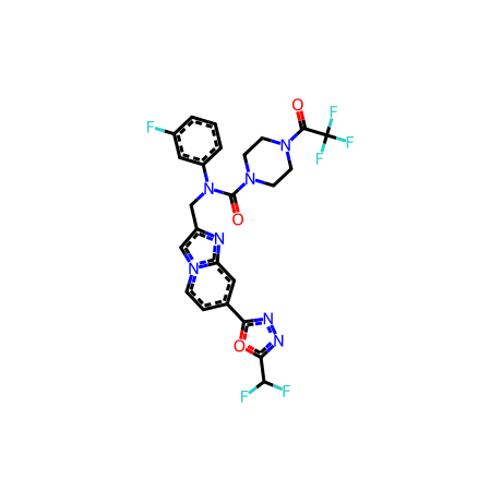 O=C(N1CCN(C(=O)C(F)(F)F)CC1)N(Cc1cn2ccc(-c3nnc(C(F)F)o3)cc2n1)c1cccc(F)c1